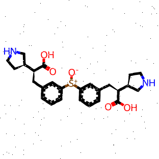 O=C(O)[C@@H](Cc1cccc([S+]([O-])c2cccc(C[C@H](C(=O)O)[C@H]3CCNC3)c2)c1)[C@H]1CCNC1